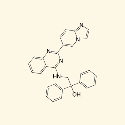 OC(CNc1nc(-c2ccc3nccn3c2)nc2ccccc12)(c1ccccc1)c1ccccc1